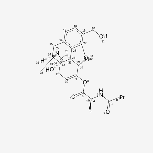 CC(C)C(=O)N[C@@H](C)C(=O)OC1=CC[C@@]2(O)[C@H]3Cc4ccc(CO)c5c4[C@@]2(CCN3C)[C@H]1O5